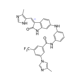 Cc1cn(-c2cc(C(=O)Nc3cccc(Nc4ccc5c(c4)NC(=O)/C5=C\c4[nH]cnc4C)c3)cc(C(F)(F)F)c2)cn1